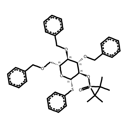 CC1(C)C(C)(C)P1(=O)O[C@@H]1[C@@H](OCc2ccccc2)[C@H](OCc2ccccc2)[C@@H](COCc2ccccc2)O[C@H]1Sc1ccccc1